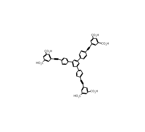 O=C(O)c1cc(C#Cc2ccc(-c3cc(-c4ccc(C#Cc5cc(C(=O)O)cc(C(=O)O)c5)cc4)cc(-c4ccc(C#Cc5cc(C(=O)O)cc(C(=O)O)c5)cc4)c3)cc2)cc(C(=O)O)c1